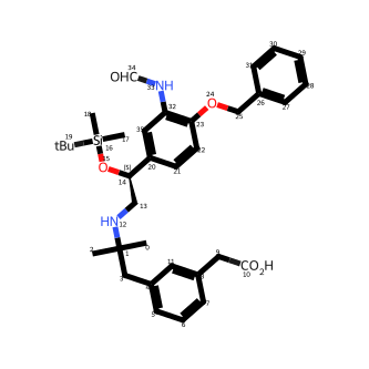 CC(C)(Cc1cccc(CC(=O)O)c1)NC[C@@H](O[Si](C)(C)C(C)(C)C)c1ccc(OCc2ccccc2)c(NC=O)c1